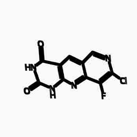 O=c1[nH]c(=O)c2cc3cnc(Cl)c(F)c3nc2[nH]1